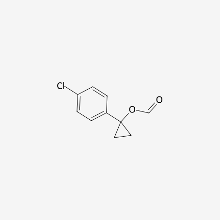 O=COC1(c2ccc(Cl)cc2)CC1